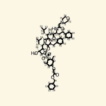 Cc1cc(OCC(=O)OCc2ccccc2)cc(C)c1S(=O)(=O)OC[C@@](C)(O)C(=O)[C@H](CC(C)C)NC(=O)[C@H](Cc1ccccc1)NC(=O)[C@H](CC(C)C)NC(=O)[C@H](CCc1ccccc1)NC(=O)CN1CCOCC1